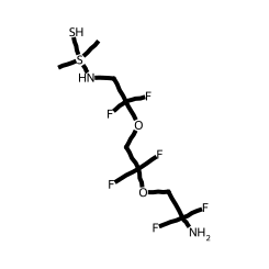 CS(C)(S)NCC(F)(F)OCC(F)(F)OCC(N)(F)F